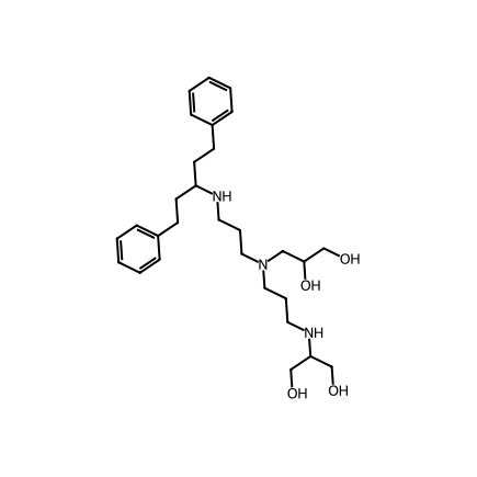 OCC(O)CN(CCCNC(CO)CO)CCCNC(CCc1ccccc1)CCc1ccccc1